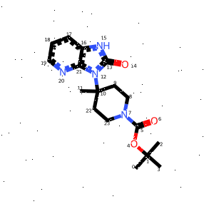 CC(C)(C)OC(=O)N1CCC(C)(n2c(=O)[nH]c3cccnc32)CC1